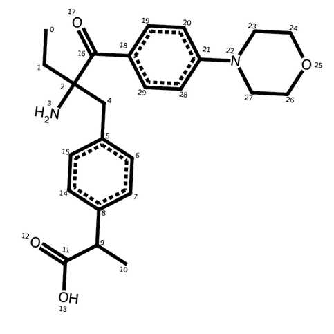 CCC(N)(Cc1ccc(C(C)C(=O)O)cc1)C(=O)c1ccc(N2CCOCC2)cc1